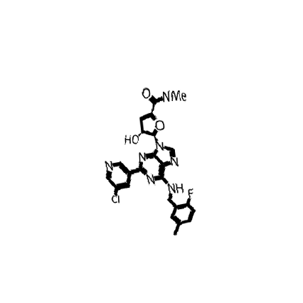 CNC(=O)[C@@H]1C[C@@H](O)[C@H](n2cnc3c(NCc4cc(C)ccc4F)nc(-c4cncc(Cl)c4)nc32)O1